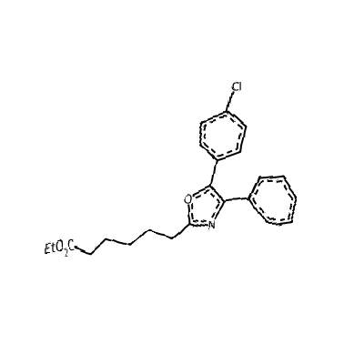 CCOC(=O)CCCCCc1nc(-c2ccccc2)c(-c2ccc(Cl)cc2)o1